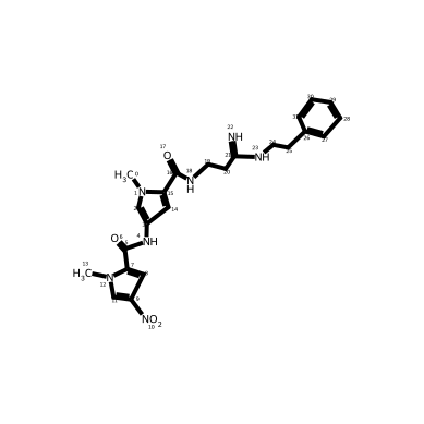 Cn1cc(NC(=O)c2cc([N+](=O)[O-])cn2C)cc1C(=O)NCCC(=N)NCCc1ccccc1